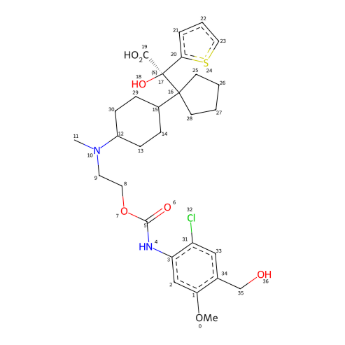 COc1cc(NC(=O)OCCN(C)C2CCC(C3([C@](O)(C(=O)O)c4cccs4)CCCC3)CC2)c(Cl)cc1CO